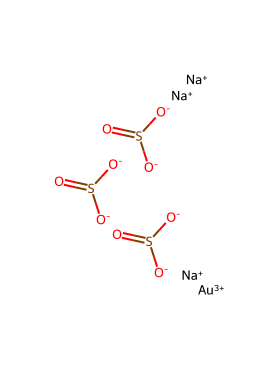 O=S([O-])[O-].O=S([O-])[O-].O=S([O-])[O-].[Au+3].[Na+].[Na+].[Na+]